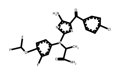 CC(C(N)=O)N(c1ccc(OC(F)F)c(F)c1)c1nc(N)c(C(=O)c2ccc(Cl)cc2)s1